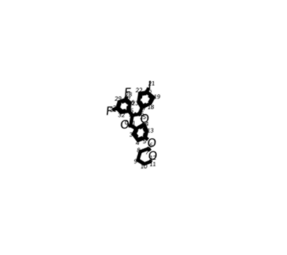 O=C1c2ccc(OC3CCCCO3)cc2OC(c2ccc(I)cc2)C1c1cc(F)cc(F)c1